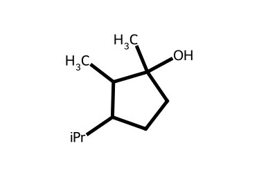 CC(C)C1CCC(C)(O)C1C